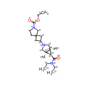 CCOC(=O)N1CCC2(CC(N3C[C@@H]4[C@H](C3)[C@@H]4C(=O)N(CC)CC)C2)C1